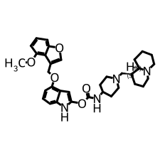 COc1cccc2occ(COc3cccc4[nH]c(OC(=O)NC5CCN(C[C@@H]6CCCN7CCCC[C@H]67)CC5)cc34)c12